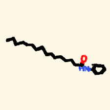 CCCCCCCCCCCCCCCC(=O)Nc1[c]cccc1